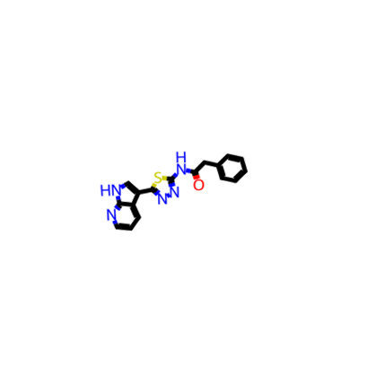 O=C(Cc1ccccc1)Nc1nnc(-c2c[nH]c3ncccc23)s1